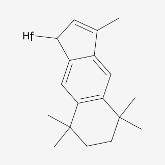 CC1=C[CH]([Hf])c2cc3c(cc21)C(C)(C)CCC3(C)C